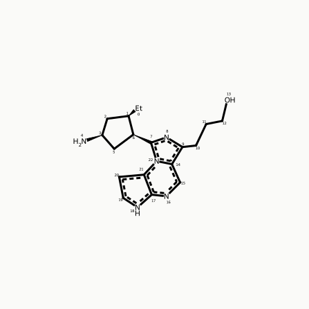 CC[C@@H]1C[C@H](N)C[C@@H]1c1nc(CCCO)c2cnc3[nH]ccc3n12